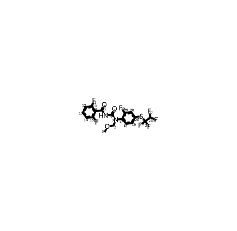 COCN(C(=O)NC(=O)c1c(F)cccc1F)c1ccc(SC(F)(F)C(F)F)cc1F